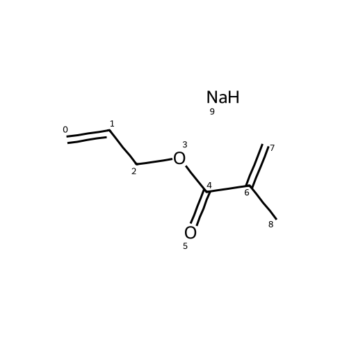 C=CCOC(=O)C(=C)C.[NaH]